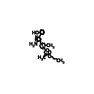 CCCCOC(=O)N(C)CC(=O)N1CCN(c2cc(-c3ccccc3O)nnc2N)CC1C